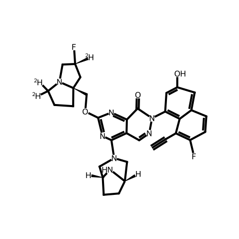 [2H]C1([2H])CC[C@@]2(COc3nc(N4C[C@H]5CC[C@@H](C4)N5)c4cnn(-c5cc(O)cc6ccc(F)c(C#C)c56)c(=O)c4n3)C[C@@]([2H])(F)CN12